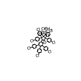 CCOC(=O)C1(C(=O)OCC)C(c2ccc(Cl)cc2)(c2ccc(Cl)cc2)c2oc3c(-c4ccc(Cl)cc4)c(-c4ccc(Cl)cc4)c(-c4ccc(Cl)cc4)cc3c2C1(c1ccc(Cl)cc1)c1ccc(Cl)cc1